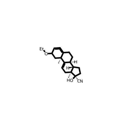 CCOC1C=C=C2CC[C@@H]3C(=CC[C@@]4(C)[C@H]3CC[C@]4(O)C#N)[C@@]2(C)C1